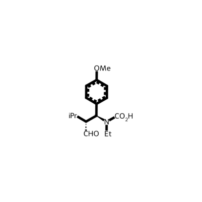 CCN(C(=O)O)[C@H](c1ccc(OC)cc1)[C@H](C=O)C(C)C